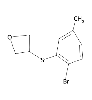 Cc1ccc(Br)c(SC2COC2)c1